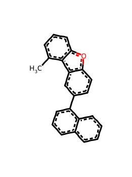 Cc1cccc2oc3ccc(-c4cccc5ccccc45)cc3c12